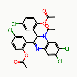 CC(=O)Oc1ccc(Cl)cc1C1=Nc2cc(Cl)c(Cl)cc2N(C(C)=O)C1c1cc(Cl)ccc1OC(C)=O